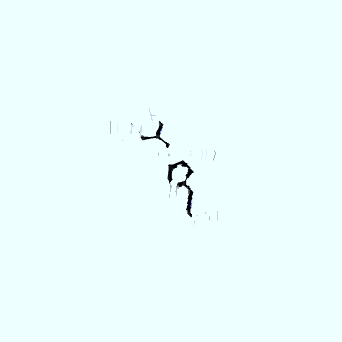 Cl.NC/C(=C\F)COc1ccc(/C=C/C(=O)O)nc1